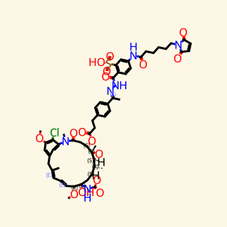 COc1cc2cc(c1Cl)N(C)C(=O)C[C@H](OC(=O)CCc1ccc(/C(C)=N/NC(=O)c3ccc(NC(=O)CCCCCN4C(=O)C=CC4=O)cc3S(=O)(=O)O)cc1)[C@]1(C)O[C@H]1[C@H](C)[C@@H]1C[C@@](O)(NC(=O)O1)[C@H](OC)/C=C/C=C(\C)C2